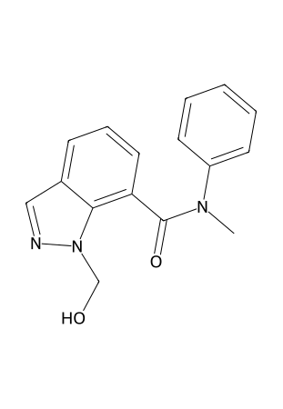 CN(C(=O)c1cccc2cnn(CO)c12)c1ccccc1